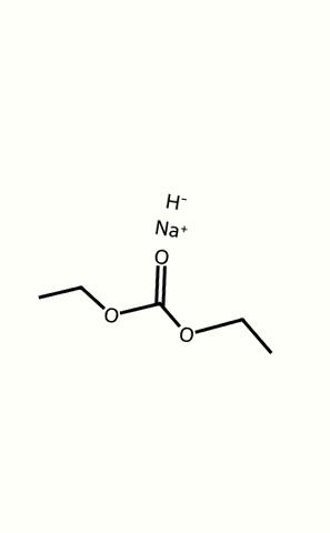 CCOC(=O)OCC.[H-].[Na+]